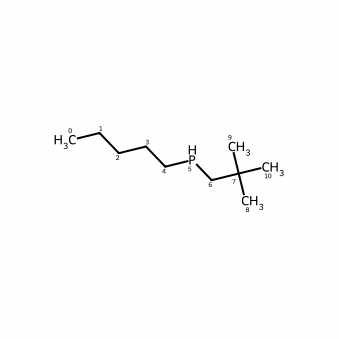 CCCCCPCC(C)(C)C